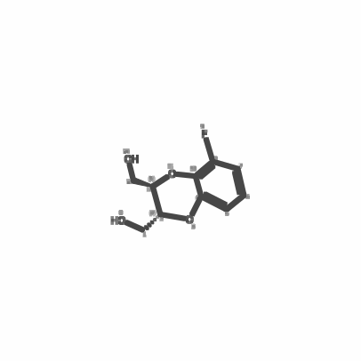 OC[C@H]1Oc2cccc(F)c2O[C@@H]1CO